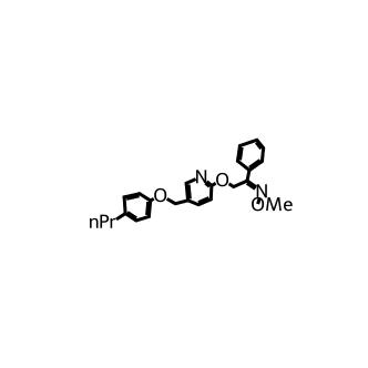 CCCc1ccc(OCc2ccc(OC/C(=N\OC)c3ccccc3)nc2)cc1